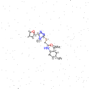 CCn1c(SCC(=O)Nc2ccc(C(C)C)cc2OC)nnc1-c1ccco1